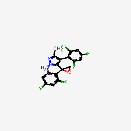 Cc1nn(C)c(C2(c3c(F)cc(F)cc3I)CO2)c1-c1c(F)cc(F)cc1Cl